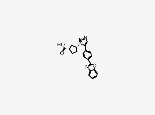 O=C(O)[C@H]1CC[C@@H](n2nncc2-c2ccc(-c3nc4ccccc4o3)cc2)C1